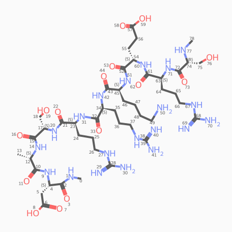 CNC(=O)[C@H](CC(=O)O)NC(=O)[C@H](C)NC(=O)[C@H](CO)NC(=O)[C@H](CCCNC(=N)N)NC(=O)[C@H](CCCNC(=N)N)NC(=O)[C@H](CCCCN)NC(=O)[C@H](CCC(=O)O)NC(=O)[C@H](CCCNC(=N)N)NC(=O)[C@@H](CO)NC